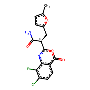 Cc1ccc(C[C@H](C(N)=O)c2nc3c(F)c(Cl)ccc3c(=O)o2)o1